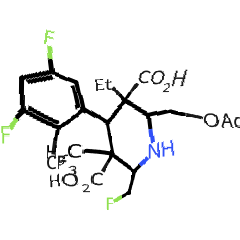 CCC1(C(=O)O)C(COC(C)=O)NC(CF)C(C)(C(=O)O)C1c1cc(F)cc(F)c1C(F)(F)F